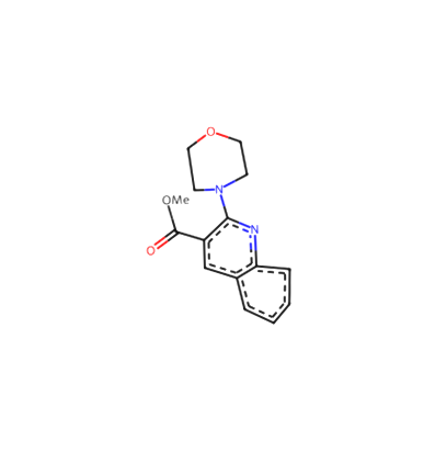 COC(=O)c1cc2ccccc2nc1N1CCOCC1